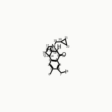 Cc1cc2c(cc1CI)C(=O)[C@@H]1[C@H](C)[C@]2(C)CCN1CC1CC1